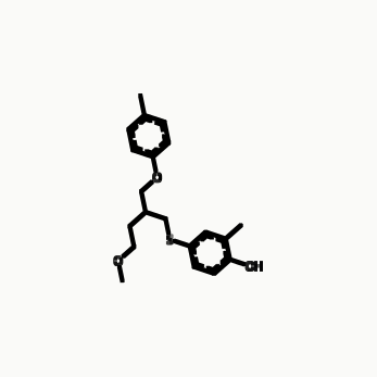 COCCC(COc1ccc(C)cc1)CSc1ccc(O)c(C)c1